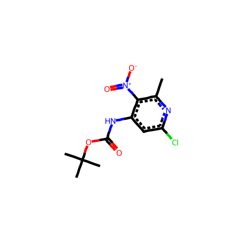 Cc1nc(Cl)cc(NC(=O)OC(C)(C)C)c1[N+](=O)[O-]